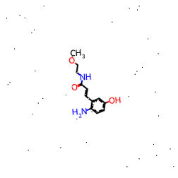 COCCNC(=O)C=Cc1cc(O)ccc1N